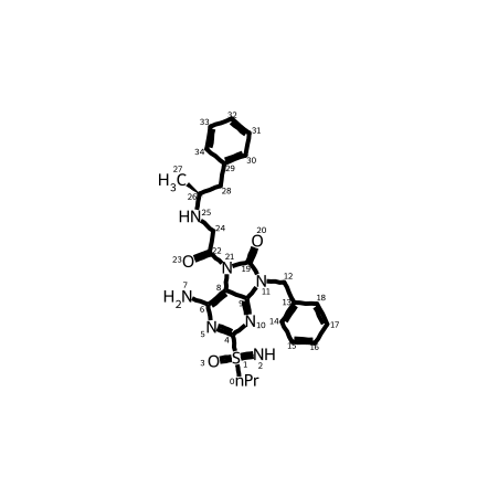 CCCS(=N)(=O)c1nc(N)c2c(n1)n(Cc1ccccc1)c(=O)n2C(=O)CN[C@@H](C)Cc1ccccc1